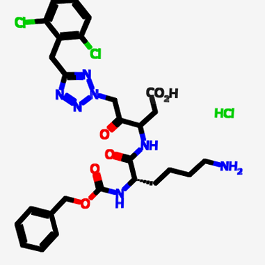 Cl.NCCCC[C@H](NC(=O)OCc1ccccc1)C(=O)NC(CC(=O)O)C(=O)Cn1nnc(Cc2c(Cl)cccc2Cl)n1